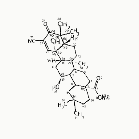 COC(=O)[C@@]12CCC3C(C1CC(C)(C)CC2)[C@@H](O)C[C@@H]1[C@@]2(C)C=C(C#N)C(=O)C(C)(C)[C@@H]2CC[C@@]31C